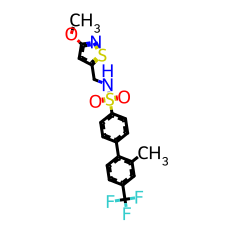 COc1cc(CNS(=O)(=O)c2ccc(-c3ccc(C(F)(F)F)cc3C)cc2)sn1